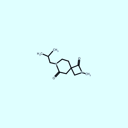 CC(C)CN1CCC2(CC1=O)CN(C)C2=O